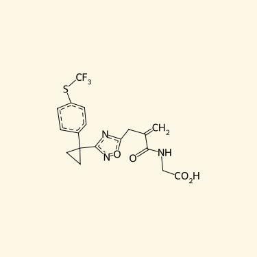 C=C(Cc1nc(C2(c3ccc(SC(F)(F)F)cc3)CC2)no1)C(=O)NCC(=O)O